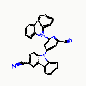 N#Cc1ccc2c(c1)c1ccccc1n2-c1cc(C#N)nc(-n2c3ccccc3c3ccccc32)c1